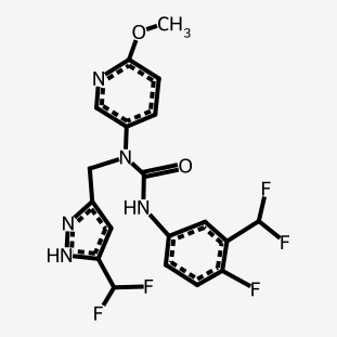 COc1ccc(N(Cc2cc(C(F)F)[nH]n2)C(=O)Nc2ccc(F)c(C(F)F)c2)cn1